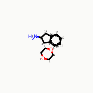 C1COCCO1.NC1Cc2ccccc2C1